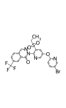 CCS(=O)(=O)c1cc(Oc2ccc(Br)cn2)cnc1-n1ncc2ccc(C(F)(F)F)cc2c1=O